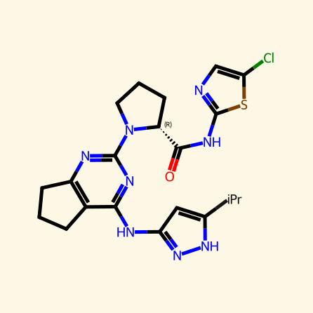 CC(C)c1cc(Nc2nc(N3CCC[C@@H]3C(=O)Nc3ncc(Cl)s3)nc3c2CCC3)n[nH]1